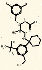 CCc1cc(C(C)(C)C)cc(C2(NC[C@@H](O)[C@H](Cc3cc(F)cc(F)c3)NC(C)=O)CCCCC2)c1